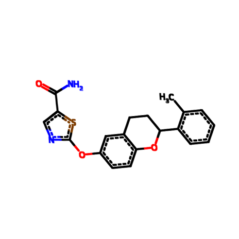 Cc1ccccc1C1CCc2cc(Oc3ncc(C(N)=O)s3)ccc2O1